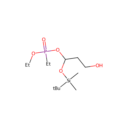 CCOP(=O)(CC)OC(CCO)O[Si](C)(C)C(C)(C)C